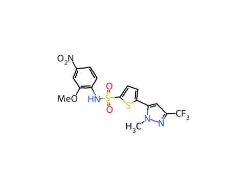 COc1cc([N+](=O)[O-])ccc1NS(=O)(=O)c1ccc(-c2cc(C(F)(F)F)nn2C)s1